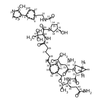 Cc1ncsc1-c1ccc(CNC(=O)[C@@H]2C[C@@H](O)CN2C(=O)[C@@H](NC(=O)CCCCc2ccc(CO[C@H](C)[C@H](CCC(N)=O)NC(=O)[C@@H]3[C@@H]4C[C@@H]4CN3C(=O)[C@@H](N)CC(C)C)cc2)C(C)(C)C)cc1